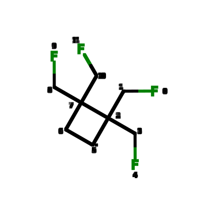 FCC1(CF)[CH]CC1(CF)CF